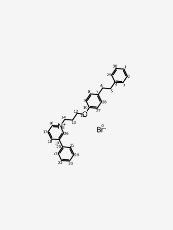 [Br-].c1ccc(CCc2ccc(OCCC[n+]3cccc(-c4ccccc4)c3)cc2)cc1